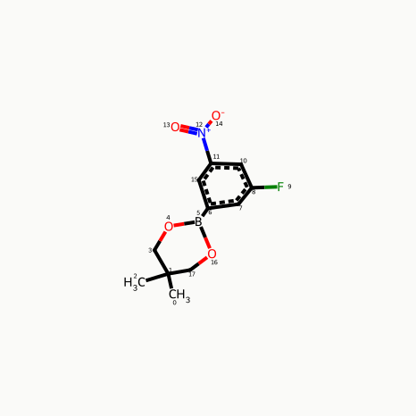 CC1(C)COB(c2cc(F)cc([N+](=O)[O-])c2)OC1